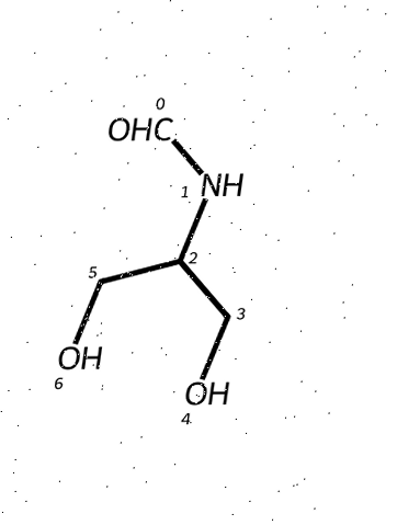 O=CNC(CO)CO